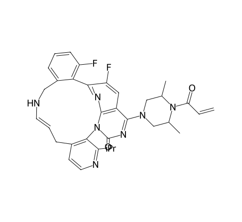 C=CC(=O)N1C(C)CN(c2nc(=O)n3c4nc(c(F)cc24)-c2c(F)cccc2CN/C=C/Cc2ccnc(C(C)C)c2-3)CC1C